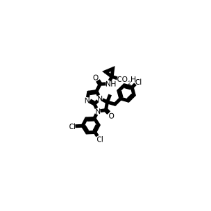 CC1(Cc2ccc(Cl)cc2)C(=O)N(c2cc(Cl)cc(Cl)c2)c2ncc(C(=O)NC3(C(=O)O)CC3)n21